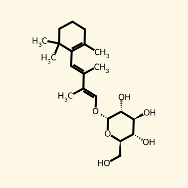 CC1=C(/C=C(C)/C(C)=C/O[C@H]2O[C@H](CO)[C@@H](O)[C@H](O)[C@H]2O)C(C)(C)CCC1